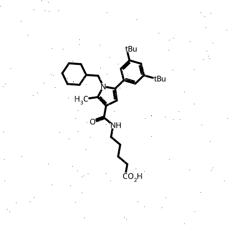 Cc1c(C(=O)NCCCCC(=O)O)cc(-c2cc(C(C)(C)C)cc(C(C)(C)C)c2)n1CC1CCCCC1